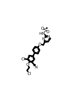 CS(=O)(=O)Nc1nccc(COc2ccc(-c3cc(Cl)c(OCCCl)c(C#N)c3)cc2)n1